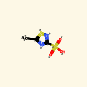 Cc1nc(S(=O)(=O)O)ns1